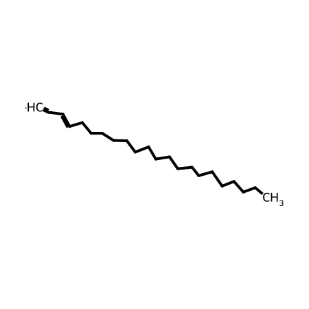 [CH]=C/C=C/CCCCCCCCCCCCCCCCCC